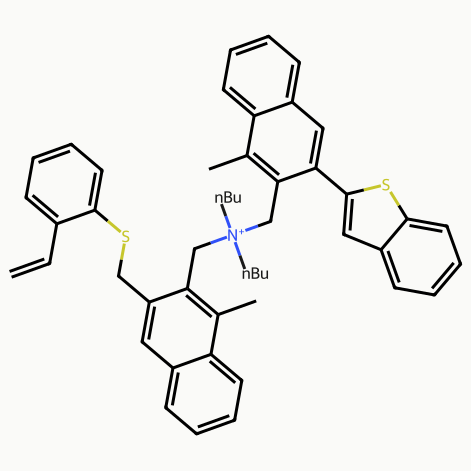 C=Cc1ccccc1SCc1cc2ccccc2c(C)c1C[N+](CCCC)(CCCC)Cc1c(-c2cc3ccccc3s2)cc2ccccc2c1C